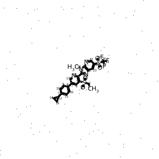 CCS(=O)(=O)c1cc(-c2ccc(C3CC3)cc2)cnc1-c1nc2cc(S(=O)(=O)C(F)(F)F)cnc2n1C